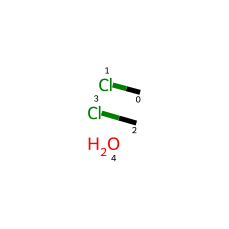 CCl.CCl.O